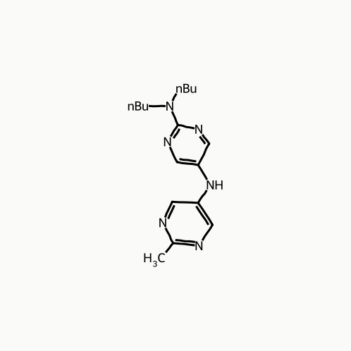 CCCCN(CCCC)c1ncc(Nc2cnc(C)nc2)cn1